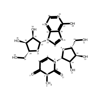 Cn1c(=O)ccn([C@@H]2O[C@H](CO)[C@@H](O)[C@H]2O)c1=O.OC[C@H]1O[C@@H](n2cnc3c(O)ncnc32)[C@H](O)[C@@H]1O